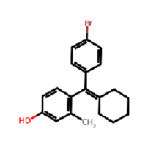 Cc1cc(O)ccc1C(=C1CCCCC1)c1ccc(Br)cc1